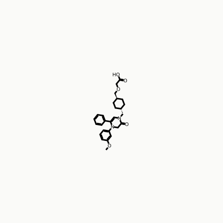 COc1cccc(N2CC(=O)N(C[C@H]3CC[C@H](COCC(=O)O)CC3)C=C2c2ccccc2)c1